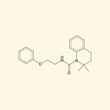 CC1(C)CCc2ccccc2N1C(=O)NCCOc1ccccc1